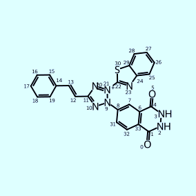 O=c1[nH][nH]c(=O)c2cc(-n3nc(C=Cc4ccccc4)n[n+]3-c3nc4ccccc4s3)ccc12